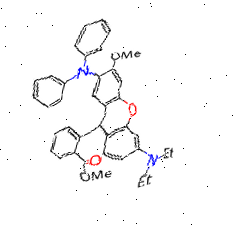 CCN(CC)c1ccc2c(c1)Oc1cc(OC)c(N(c3ccccc3)c3ccccc3)cc1C2c1ccccc1C(=O)OC